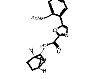 CC(=O)Nc1ccccc1-c1cnc(C(=O)N[C@@H]2C[C@H]3CC[C@@H]2N3)o1